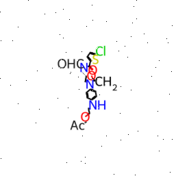 C=C1O[C@@H](CN(C=O)C(=O)c2ccc(Cl)s2)CN1c1ccc(NCCOCC(C)=O)cc1